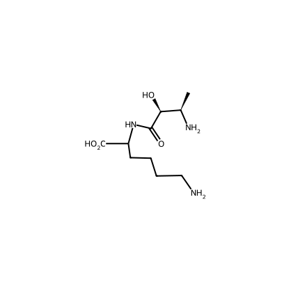 C[C@@H](N)[C@H](O)C(=O)NC(CCCCN)C(=O)O